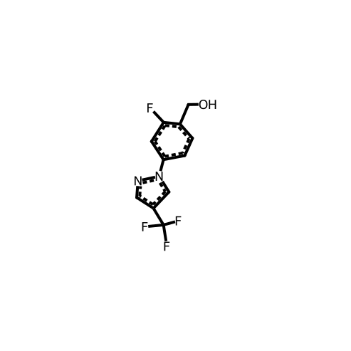 OCc1ccc(-n2cc(C(F)(F)F)cn2)cc1F